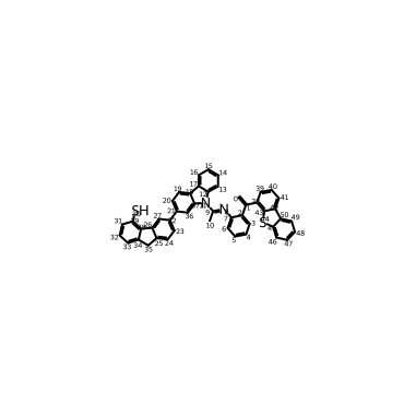 C=C(c1ccccc1/N=C(\C)n1c2ccccc2c2ccc(-c3ccc4c(c3)-c3c(S)cccc3C4)cc21)c1cccc2c1sc1ccccc12